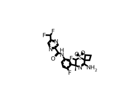 C[C@]1(c2cc(NC(=O)c3cnc(C(F)F)cn3)ccc2F)N=C(N)C2(CCC2)S(=O)(=O)C1F